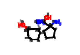 NC1(CO)CCCC1.N[C@@H]1CCCC[C@H]1O